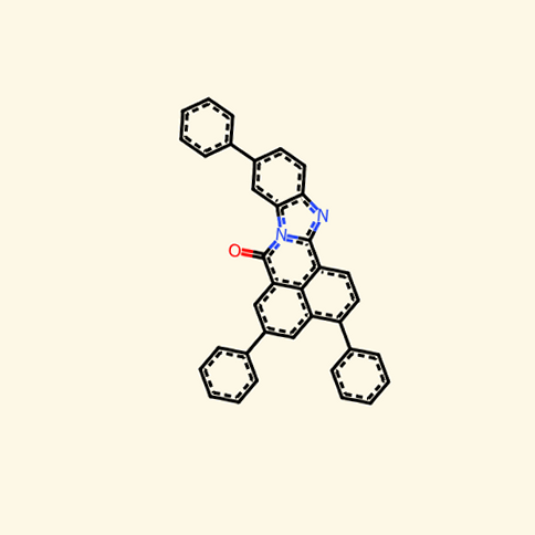 O=c1c2cc(-c3ccccc3)cc3c(-c4ccccc4)ccc(c32)c2nc3ccc(-c4ccccc4)cc3n12